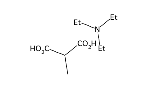 CC(C(=O)O)C(=O)O.CCN(CC)CC